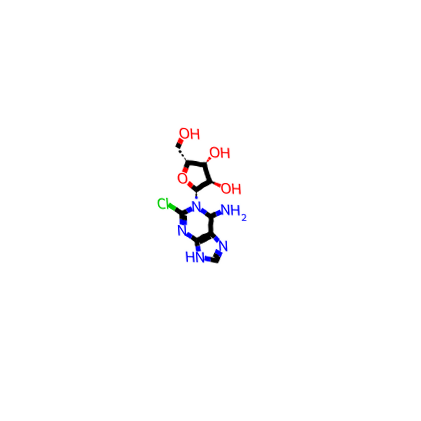 NC1c2nc[nH]c2N=C(Cl)N1[C@@H]1O[C@H](CO)[C@H](O)[C@H]1O